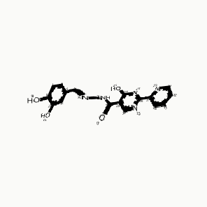 O=C(NN=Cc1ccc(O)c(O)c1)c1cnc(-c2ccccn2)nc1O